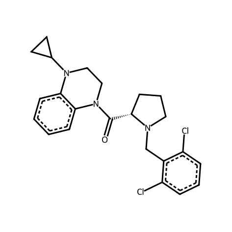 O=C([C@@H]1CCCN1Cc1c(Cl)cccc1Cl)N1CCN(C2CC2)c2ccccc21